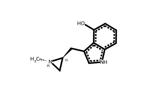 C[N@@]1C[C@@H]1Cc1c[nH]c2cccc(O)c12